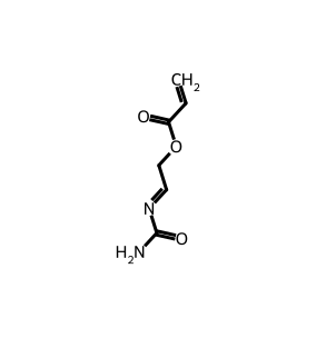 C=CC(=O)OCC=NC(N)=O